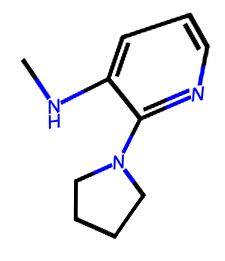 CNc1cccnc1N1CCCC1